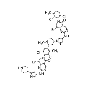 Cc1ccc(Cl)c(-n2cc(Br)c3nc(Nc4cnn(C5CCN(C)C(c6cc(Cl)c(-n7cc(Br)c8nc(Nc9cnn(C%10CCNCC%10)c9)ncc8c7=O)c(Cl)c6C)C5)c4)ncc3c2=O)c1Cl